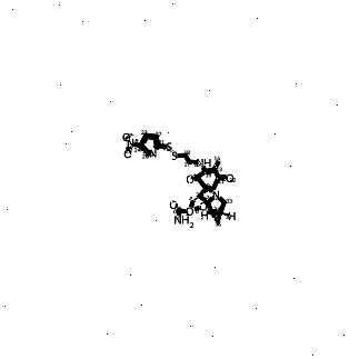 CO[C@@]12[C@H](COC(N)=O)C3=C(C(=O)C(C)=C(NCCSSc4ccc([N+](=O)[O-])cn4)C3=O)N1C[C@@H]1C[C@@H]12